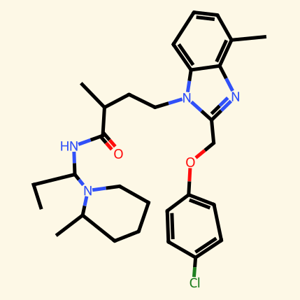 CCC(NC(=O)C(C)CCn1c(COc2ccc(Cl)cc2)nc2c(C)cccc21)N1CCCCC1C